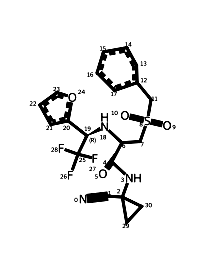 N#CC1(NC(=O)C(CS(=O)(=O)Cc2ccccc2)N[C@H](c2ccco2)C(F)(F)F)CC1